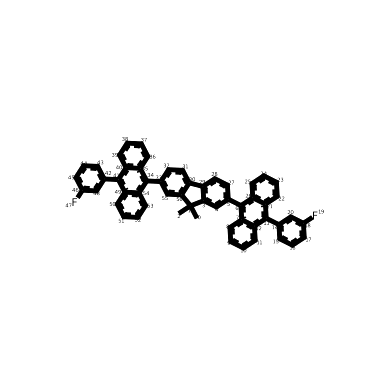 CC1(C)c2cc(-c3c4ccccc4c(-c4cccc(F)c4)c4ccccc34)ccc2-c2ccc(-c3c4ccccc4c(-c4cccc(F)c4)c4ccccc34)cc21